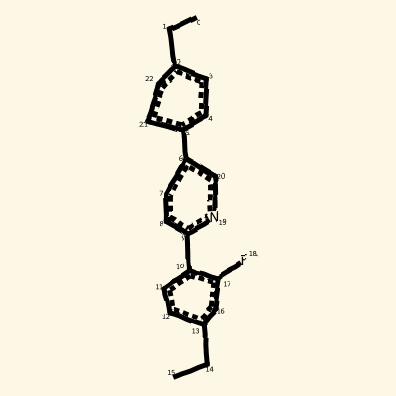 CCc1ccc(-c2ccc(-c3ccc(CC)cc3F)nc2)cc1